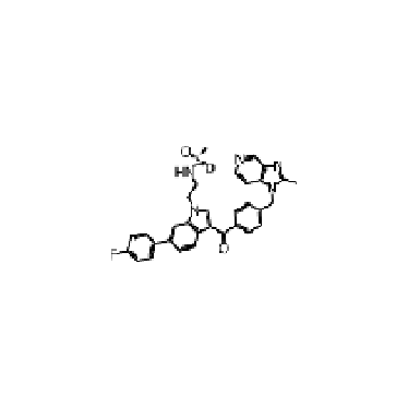 Cc1nc2cnccc2n1Cc1ccc(C(=O)c2cn(CCNS(C)(=O)=O)c3cc(-c4ccc(F)cc4)ccc23)cc1